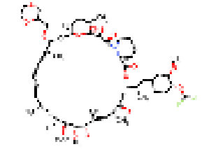 CO[C@@H]1/C(C)=C/[C@@H](C)C(=O)C[C@@H]([C@H](C)C[C@@H]2CC[C@@H](OC(F)F)[C@H](OC)C2)OC(=O)[C@@H]2CCCCN2C(=O)C(=O)[C@]2(O)O[C@@H](CC[C@H]2C)CC(OCC2COCCO2)/C(C)=C/C=C/C=C/[C@@H](C)C[C@@H](C)C(=O)[C@@H]1OC